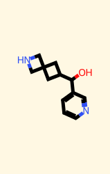 OC(c1cccnc1)C1CC2(CNC2)C1